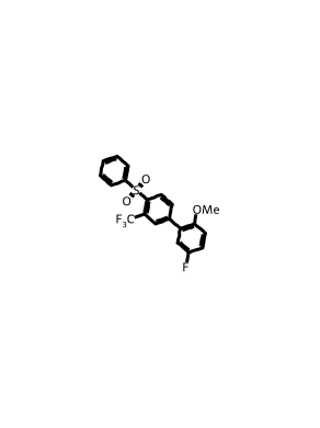 COc1ccc(F)cc1-c1ccc(S(=O)(=O)c2ccccc2)c(C(F)(F)F)c1